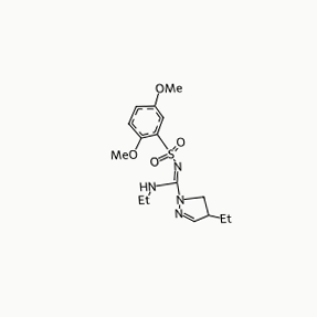 CCN/C(=N\S(=O)(=O)c1cc(OC)ccc1OC)N1CC(CC)C=N1